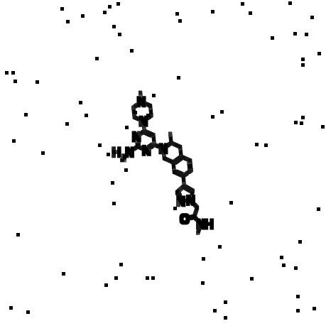 CNC(=O)Cn1cc(-c2ccc3c(c2)CN(c2cc(N4CCN(C)CC4)nc(N)n2)C(C)C3)cn1